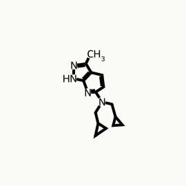 Cc1n[nH]c2nc(N(CC3CC3)CC3CC3)ccc12